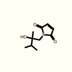 CC(C)C(C)(O)CN1C(=O)C=CC1=O